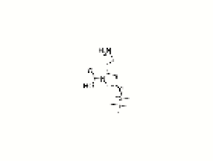 CC(C)(C)[Si](C)(C)O[C@@H]1C[C@@H](CCN)N(C(=O)O)C1